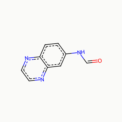 O=CNc1ccc2nccnc2c1